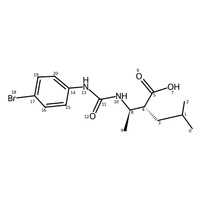 CC(C)C[C@@H](C(=O)O)[C@@H](C)NC(=O)Nc1ccc(Br)cc1